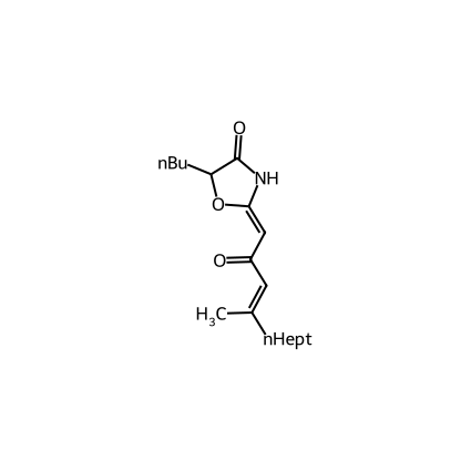 CCCCCCC/C(C)=C/C(=O)C=C1NC(=O)C(CCCC)O1